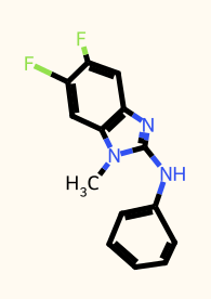 Cn1c(Nc2ccccc2)nc2cc(F)c(F)cc21